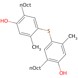 CCCCCCCCc1cc(Sc2cc(CCCCCCCC)c(O)cc2C)c(C)cc1O